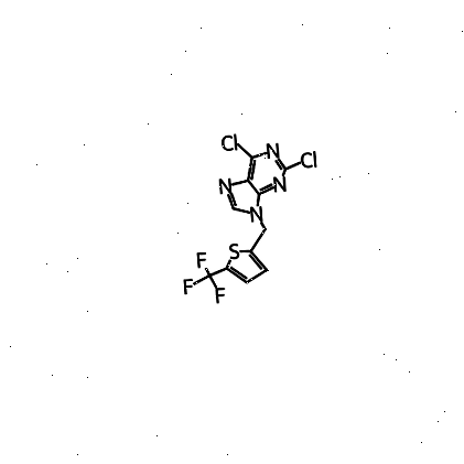 FC(F)(F)c1ccc(Cn2cnc3c(Cl)nc(Cl)nc32)s1